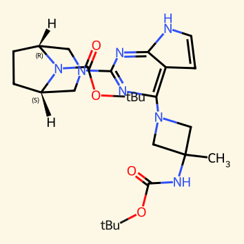 CC1(NC(=O)OC(C)(C)C)CN(c2nc(N3C[C@H]4CC[C@@H](C3)N4C(=O)OC(C)(C)C)nc3[nH]ccc23)C1